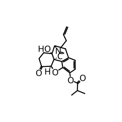 C=CCN1CC[C@]23c4c5ccc(OC(=O)C(C)C)c4O[C@H]2C(=O)CC[C@@]3(O)C1C5